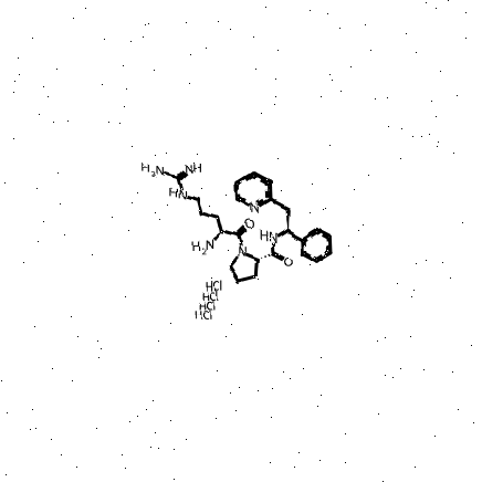 Cl.Cl.Cl.Cl.N=C(N)NCCC[C@H](N)C(=O)N1CCC[C@H]1C(=O)N[C@@H](Cc1ccccn1)c1ccccc1